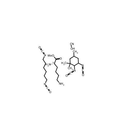 CC1CC(N=C=O)C(N=C=O)C(C)(C)C1.COC(=O)[C@@H](N)CCCCN.N#CO.O=C=NCCCCCCN=C=O